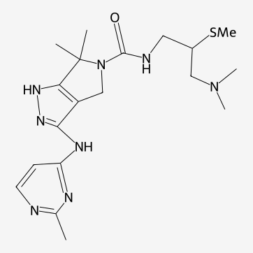 CSC(CNC(=O)N1Cc2c(Nc3ccnc(C)n3)n[nH]c2C1(C)C)CN(C)C